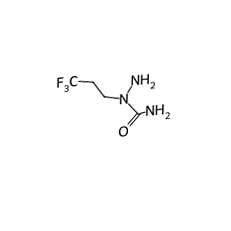 NC(=O)N(N)CCC(F)(F)F